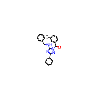 N#Cc1cccc(C(=O)n2nc(-c3ccccc3)nc2NCc2ccccc2)c1